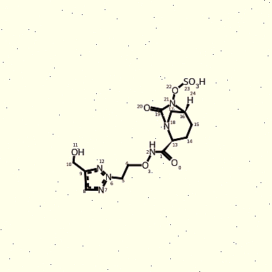 O=C(NOCCn1ncc(CO)n1)[C@@H]1CC[C@@H]2CN1C(=O)N2OS(=O)(=O)O